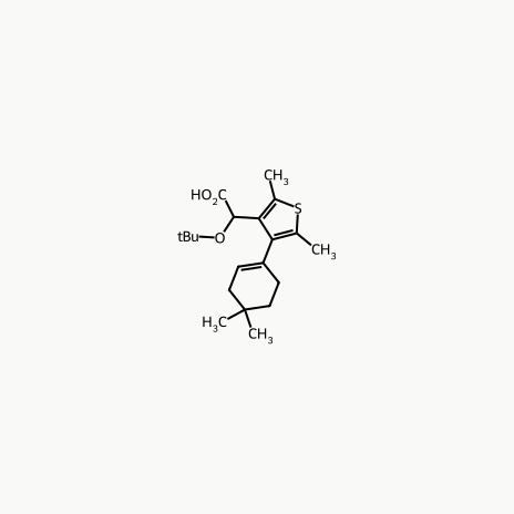 Cc1sc(C)c(C(OC(C)(C)C)C(=O)O)c1C1=CCC(C)(C)CC1